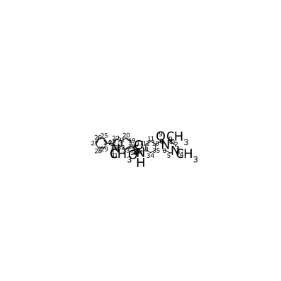 C[C@H]1CN(C)CCN1C(=O)C1CCC(NS(=O)(=O)c2ccc3cc(-c4ccccc4)n(C)c3c2)CC1